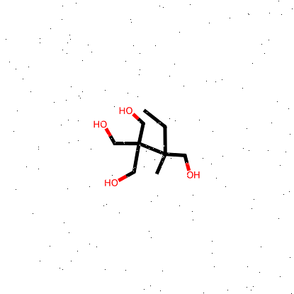 CCC(C)(CO)C(CO)(CO)CO